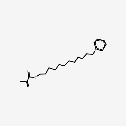 C=C(C)C(=O)OCCCCCCCCCCCC[n+]1ccccc1